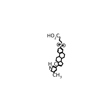 Cc1cncc(C2=CCC3C4CCc5cc(S(=O)(=O)CCCC(=O)O)ccc5C4CC[C@]23C)c1